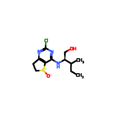 CCC(C)[C@H](CO)Nc1nc(Cl)nc2c1[S+]([O-])CC2